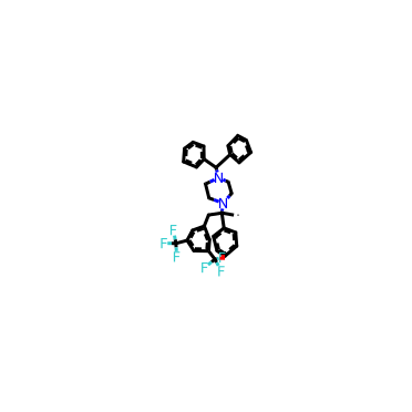 [CH2]C(Cc1cc(C(F)(F)F)cc(C(F)(F)F)c1)(c1ccccc1)N1CCN(C(c2ccccc2)c2ccccc2)CC1